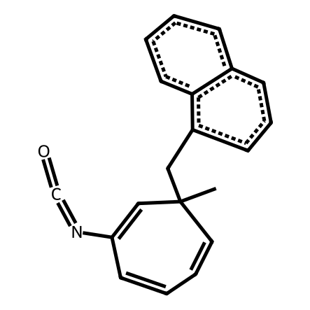 CC1(Cc2cccc3ccccc23)C=CC=CC(N=C=O)=C1